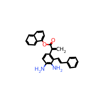 C=C(C(=O)Oc1cccc2ccccc12)c1ccc(N)c(N)c1C=Cc1ccccc1